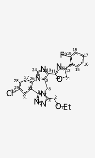 CCOCc1nnc2n1Cc1c(C3=N[C@@H](c4ccccc4F)CO3)ncn1-c1ccc(Cl)cc1-2